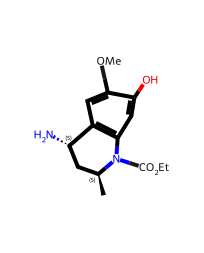 CCOC(=O)N1c2cc(O)c(OC)cc2[C@@H](N)C[C@@H]1C